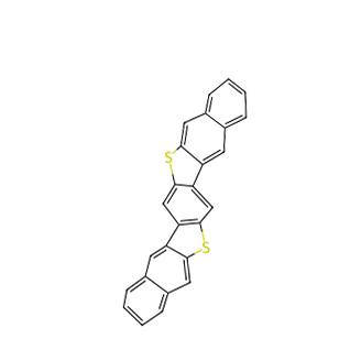 c1ccc2cc3c(cc2c1)sc1cc2c(cc13)sc1cc3ccccc3cc12